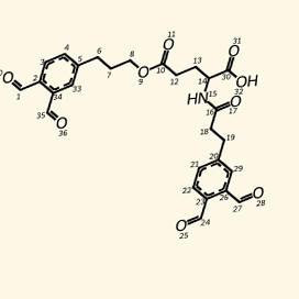 O=Cc1ccc(CCCOC(=O)CCC(NC(=O)CCc2ccc(C=O)c(C=O)c2)C(=O)O)cc1C=O